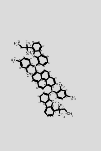 CCC(C)(C)c1cccc2c3c(oc12)C(N(c1ccc(C)cc1C)c1ccc2ccc4c(N(c5ccc(C)cc5C)c5cccc6c5oc5c(C(C)(C)CC)cccc56)ccc5ccc1c2c54)=CCC3